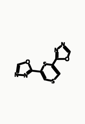 C1=C(c2nnco2)SC(c2nnco2)=CS1